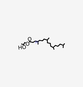 C/C(=C\CC(=O)OCC(C)O)CCCC(C)CCCC(C)CCCC(C)C